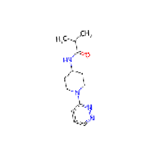 CC(C)C(=O)NC1CCN(c2cccnn2)CC1